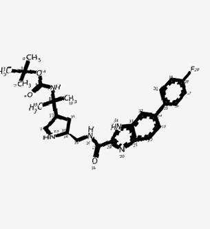 CC(C)(C)OC(=O)NC(C)(C)C1CN[C@H](CNC(=O)c2nc3ccc(-c4ccc(F)cc4)cc3[nH]2)C1